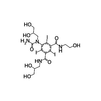 NC(=O)N(CC(O)CO)c1c(I)c(C(=O)NCCO)c(I)c(C(=O)NCC(O)CO)c1I